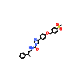 C/C(=C\CNC(=O)n1cnc(-c2ccc(OCc3ccc(S(C)(=O)=O)cc3)cc2)c1)c1ccccc1